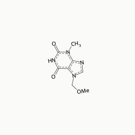 COCn1cnc2c1c(=O)[nH]c(=O)n2C